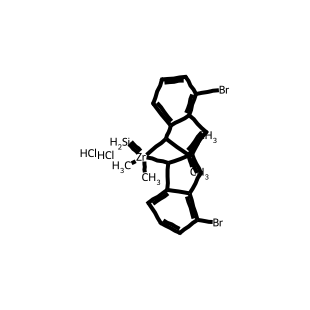 CC1=Cc2c(Br)cccc2[CH]1[Zr]([CH3])([CH3])(=[SiH2])[CH]1C(C)=Cc2c(Br)cccc21.Cl.Cl